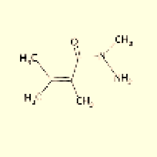 CC(C)=C(C)C(=O)N(C)N